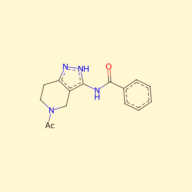 CC(=O)N1CCc2n[nH]c(NC(=O)c3ccccc3)c2C1